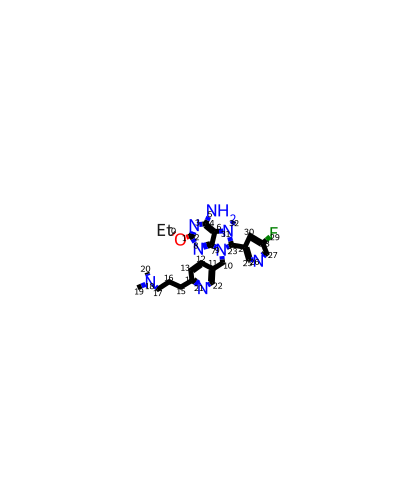 CCOc1nc(N)c2c(n1)N(Cc1ccc(CCCN(C)C)nc1)C(c1cncc(F)c1)N2C